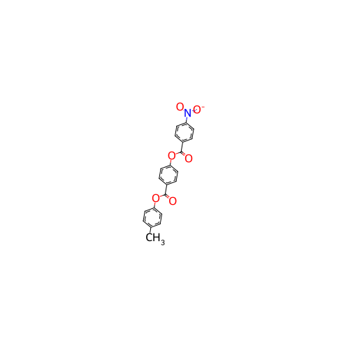 Cc1ccc(OC(=O)c2ccc(OC(=O)c3ccc([N+](=O)[O-])cc3)cc2)cc1